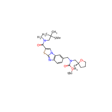 CSC(C)(C)CN(C)C(=O)c1cn2c(nc3ccc(CN(C[C@@]4(C)CCCO4)C(=O)OC(C)(C)C)cc32)s1